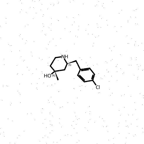 C[C@@]1(O)CCN[C@@H](Cc2ccc(Cl)cc2)C1